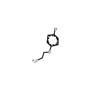 CCc1ccc(OCCC(F)(F)F)cc1